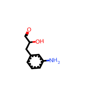 Nc1cccc(CC(O)C=O)c1